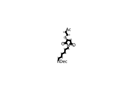 CCCCCCCCCCCCCCCCN1C(=O)CC(SCCC(C)=O)C1=O